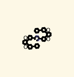 C=C(/C=C\C(=C/C)c1ccc2oc3ccc4oc5ccc(-c6ccccc6)cc5c4c3c2c1)c1ccc2oc3ccc4oc5ccc(-c6ccccc6)cc5c4c3c2c1